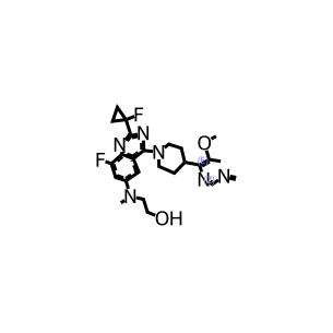 C=N/C=N\C(=C(/C)OC)C1CCN(c2nc(C3(F)CC3)nc3c(F)cc(N(C)CCO)cc23)CC1